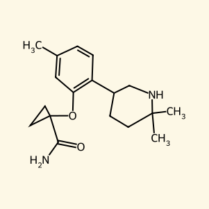 Cc1ccc(C2CCC(C)(C)NC2)c(OC2(C(N)=O)CC2)c1